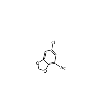 CC(=O)c1cc(Cl)cc2c1OCO2